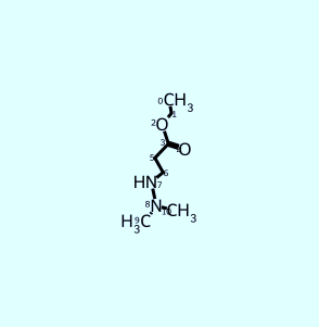 CCOC(=O)CCNN(C)C